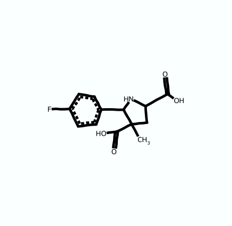 CC1(C(=O)O)CC(C(=O)O)NC1c1ccc(F)cc1